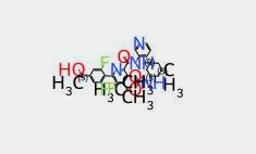 C[C@@H]1C[C@H](NC(=O)OC(C)(C)C)C[C@H](c2ccncc2NC(=O)c2ccc(F)c(-c3c(F)cc([C@H](C)O)cc3F)n2)C1